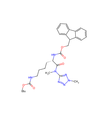 CN(C(=O)[C@H](CCCCNC(=O)OC(C)(C)C)NC(=O)OCC1c2ccccc2-c2ccccc21)c1nnn(C)n1